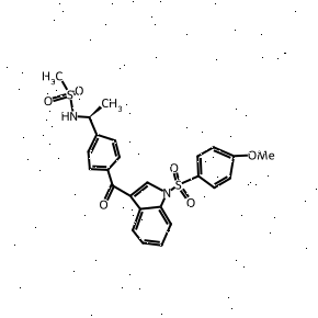 COc1ccc(S(=O)(=O)n2cc(C(=O)c3ccc([C@H](C)NS(C)(=O)=O)cc3)c3ccccc32)cc1